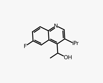 CC(C)c1cnc2ccc(F)cc2c1C(C)O